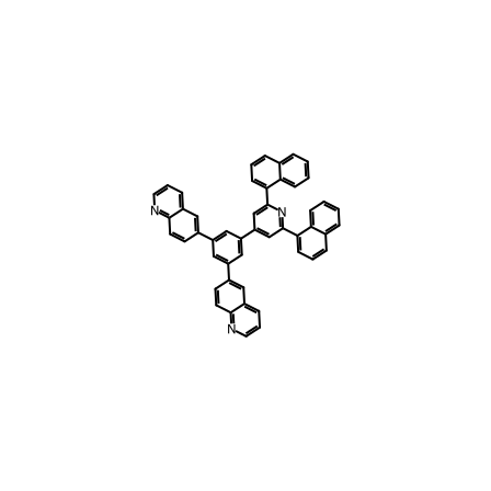 c1cnc2ccc(-c3cc(-c4cc(-c5cccc6ccccc56)nc(-c5cccc6ccccc56)c4)cc(-c4ccc5ncccc5c4)c3)cc2c1